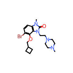 CN1CCN(CCn2c(=O)n(C)c3ccc(Br)c(OCC4CCC4)c32)CC1